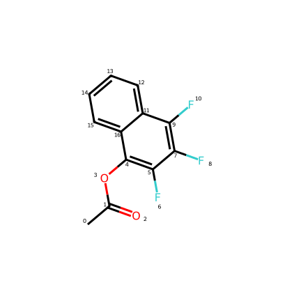 CC(=O)Oc1c(F)c(F)c(F)c2ccccc12